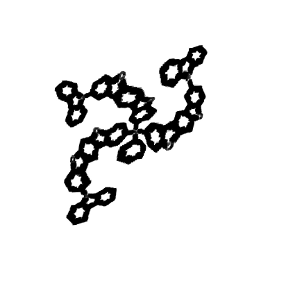 c1ccc([Si](c2ccc3oc4cc5oc6ccc(-n7c8ccccc8c8ccccc87)cc6c5cc4c3c2)(c2ccc3oc4cc5oc6ccc(-n7c8ccccc8c8ccccc87)cc6c5cc4c3c2)c2ccc3oc4cc5oc6ccc(-n7c8ccccc8c8ccccc87)cc6c5cc4c3c2)cc1